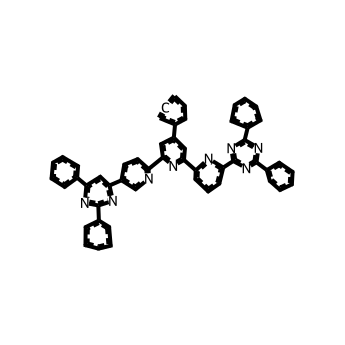 c1ccc(-c2cc(-c3ccc(-c4cc(-c5ccccc5)nc(-c5ccccc5)n4)cn3)nc(-c3cccc(-c4nc(-c5ccccc5)nc(-c5ccccc5)n4)n3)c2)cc1